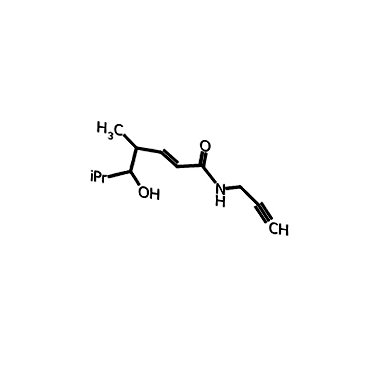 C#CCNC(=O)/C=C/C(C)C(O)C(C)C